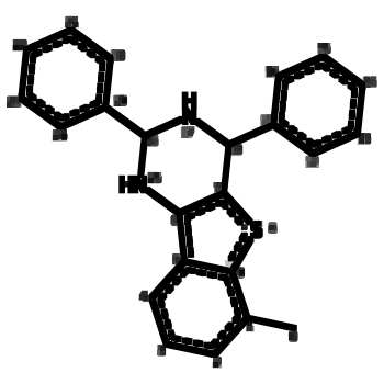 Cc1cccc2c3c(sc12)C(c1ccccc1)NC(c1ccccc1)N3